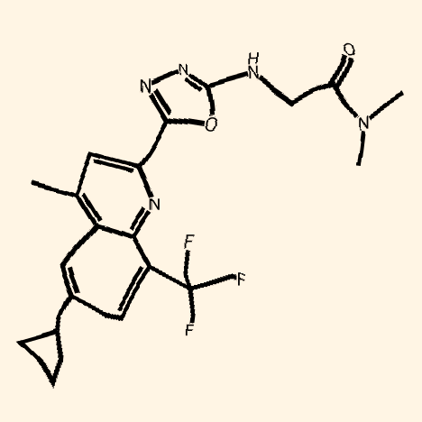 Cc1cc(-c2nnc(NCC(=O)N(C)C)o2)nc2c(C(F)(F)F)cc(C3CC3)cc12